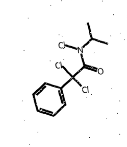 CC(C)N(Cl)C(=O)C(Cl)(Cl)c1ccccc1